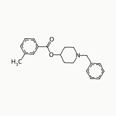 Cc1cccc(C(=O)OC2CCN(Cc3ccccc3)CC2)c1